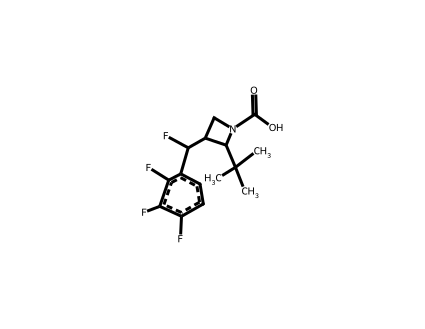 CC(C)(C)C1C(C(F)c2ccc(F)c(F)c2F)CN1C(=O)O